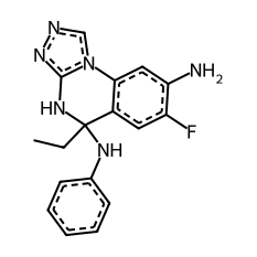 CCC1(Nc2ccccc2)Nc2nncn2-c2cc(N)c(F)cc21